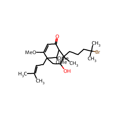 COC1=CC(=O)C2C(C)(CCCC(C)(C)Br)C(O)CC1(CC=C(C)C)C2(OC)OC